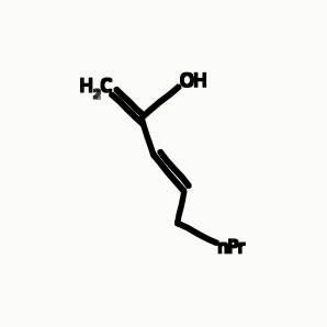 C=C(O)C=CCCCC